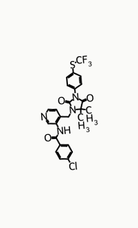 CC1(C)C(=O)N(c2ccc(SC(F)(F)F)cc2)C(=O)N1Cc1ccncc1NC(=O)c1ccc(Cl)cc1